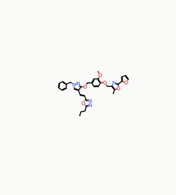 CCCc1nnc(/C=C/c2cn(Cc3ccccc3)nc2OCc2ccc(OCc3nc(-c4ccco4)oc3C)c(OC)c2)o1